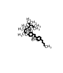 CCCCCc1ccc(-c2cc3ccc(OC(C)(C)CC(C)(C)OC(=O)C(CC(C)(C)C)C(C)(C)C)cc3n2C)cc1